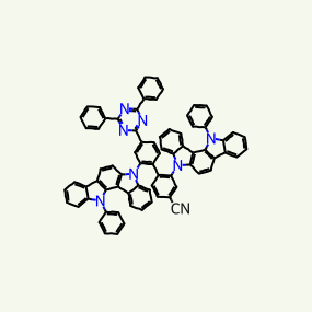 N#Cc1ccc(-c2ccc(-c3nc(-c4ccccc4)nc(-c4ccccc4)n3)cc2-n2c3ccccc3c3c2ccc2c4ccccc4n(-c4ccccc4)c23)c(-n2c3ccccc3c3c2ccc2c4ccccc4n(-c4ccccc4)c23)c1